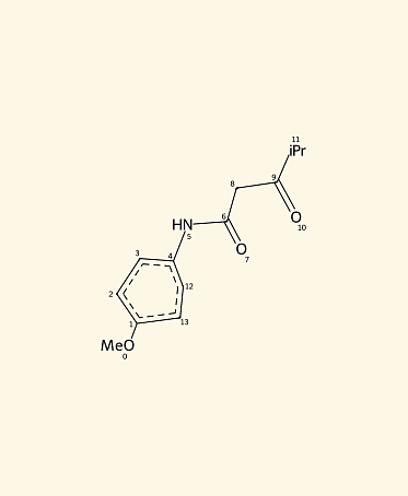 COc1ccc(NC(=O)CC(=O)C(C)C)cc1